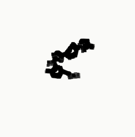 CCOCc1ccc(C)c(Nc2ncc(-c3ccc(-n4ccc(C)n4)cc3)o2)c1